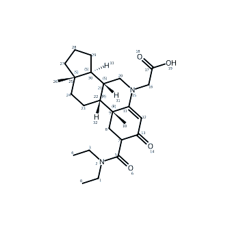 CCN(CC)C(=O)C1C[C@@]2(C)C(=CC1=O)N(CC(=O)O)C[C@@H]1[C@H]2CC[C@]2(C)CCC[C@@H]12